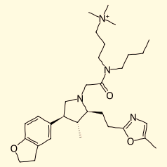 CCCCN(CCC[N+](C)(C)C)C(=O)CN1C[C@H](c2ccc3c(c2)CCO3)[C@@H](C)[C@@H]1CCc1ncc(C)o1